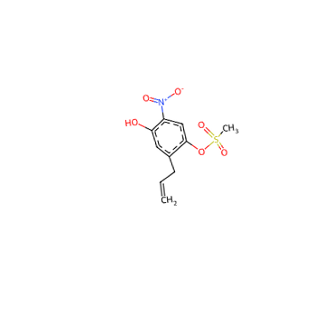 C=CCc1cc(O)c([N+](=O)[O-])cc1OS(C)(=O)=O